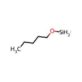 CCCCCO[SiH2]